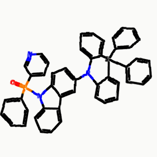 O=P(c1ccccc1)(c1cccnc1)n1c2ccccc2c2cc(N3c4ccccc4[Si](c4ccccc4)(c4ccccc4)c4ccccc43)ccc21